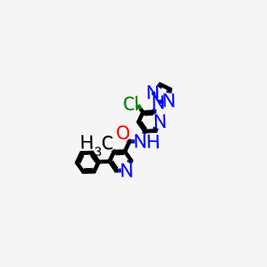 Cc1c(C(=O)Nc2cnc(-n3nccn3)c(Cl)c2)cncc1-c1ccccc1